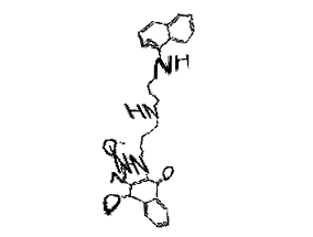 O=C1c2ccccc2C(=O)c2c1n[n+]([O-])n2CCCNCCNc1cccc2ccccc12